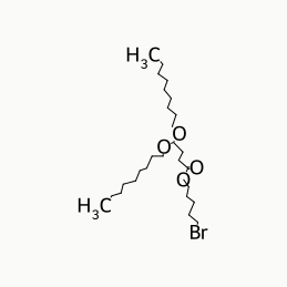 CCCCCCCCCOC(CCC(=O)OCCCCCBr)OCCCCCCCCC